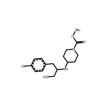 CC(C)(C)OC(=O)N1CCC(NC(CO)Cc2ccc(Cl)cc2)CC1